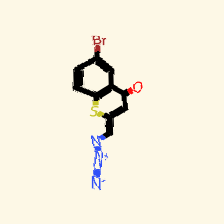 [N-]=[N+]=NCc1cc(=O)c2cc(Br)ccc2s1